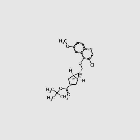 COc1ccc2ncc(Cl)c(OC[C@@H]3[C@H]4CN(C(=O)OC(C)(C)C)C[C@@H]34)c2c1